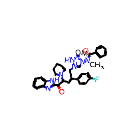 CON1NN(CC(CC(C(=O)c2nc3ccccc3[nH]2)N2CCCCC2)c2ccc(F)cc2)CN1N(C)C(=O)c1ccccc1